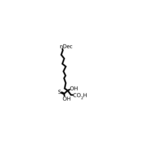 CCCCCCCCCCCCCCCCCCCCC(O)(CC(=O)O)C(O)=S